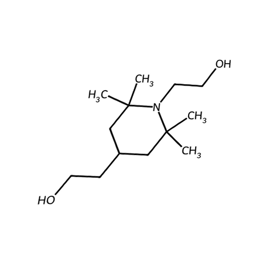 CC1(C)CC(CCO)CC(C)(C)N1CCO